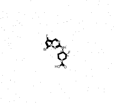 O=C(O)N1CC[C@@H](Nc2ncc3c(F)cc(Br)n3n2)[C@H](F)C1